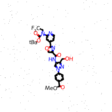 COC(=O)c1ccc(-n2cc(NC(=O)c3coc(-c4ccnc(N(CC(F)(F)F)C(=O)OC(C)(C)C)c4)n3)c(CO)n2)cc1